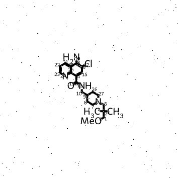 COCC(C)(C)CN1CCC(CNC(=O)c2cc(Cl)c(N)c3cccnc23)CC1